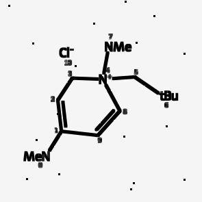 CNC1=CC[N+](CC(C)(C)C)(NC)C=C1.[Cl-]